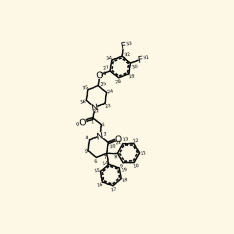 O=C(CN1CCCC(c2ccccc2)(c2ccccc2)C1=O)N1CCC(Oc2ccc(F)c(F)c2)CC1